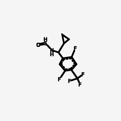 O=[SH]NC(c1cc(F)c(C(F)(F)F)cc1F)C1CC1